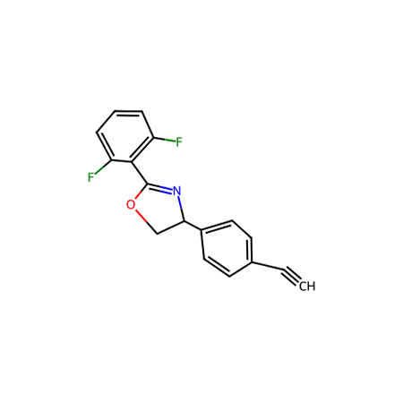 C#Cc1ccc(C2COC(c3c(F)cccc3F)=N2)cc1